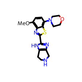 COc1ccc(N2CCOCC2)c2sc(-c3nc4c([nH]3)CCNC4)nc12